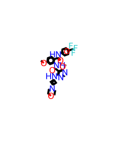 COc1ccc(C(=O)NC23CCC(C(F)(F)F)(CC2)OC3)c(NC(=O)c2c(NC34CC(N5CCOCC5)(C3)C4)ncnc2OC)c1